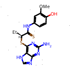 CC[C@H](Sc1nc(N)nc2nc[nH]c12)C(=S)Nc1ccc(O)c(OC)c1